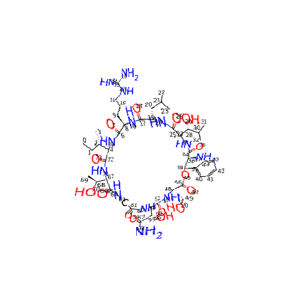 CC[C@H](C)C1NC(=O)[C@@H](CCCNC(=N)N)NC(=O)[C@H](CC(C)C)NC(=O)C([C@H](O)C(C)C)NC(=O)[C@@H](N)[C@@H](c2ccccc2)OC(=O)[C@H](CO)NC(=O)C([C@H](O)C(N)=O)NC(=O)CNC(=O)C([C@H](C)O)NC1=O